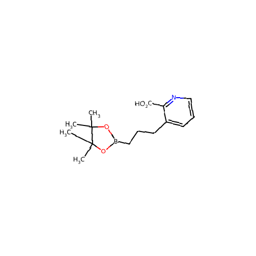 CC1(C)OB(CCCc2cccnc2C(=O)O)OC1(C)C